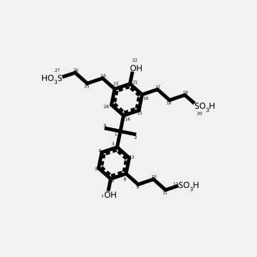 CC(C)(c1ccc(O)c(CCCS(=O)(=O)O)c1)c1cc(CCCS(=O)(=O)O)c(O)c(CCCS(=O)(=O)O)c1